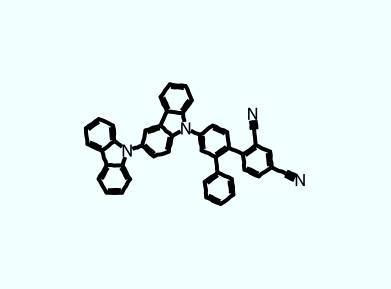 N#Cc1ccc(-c2ccc(-n3c4ccccc4c4cc(-n5c6ccccc6c6ccccc65)ccc43)cc2-c2ccccc2)c(C#N)c1